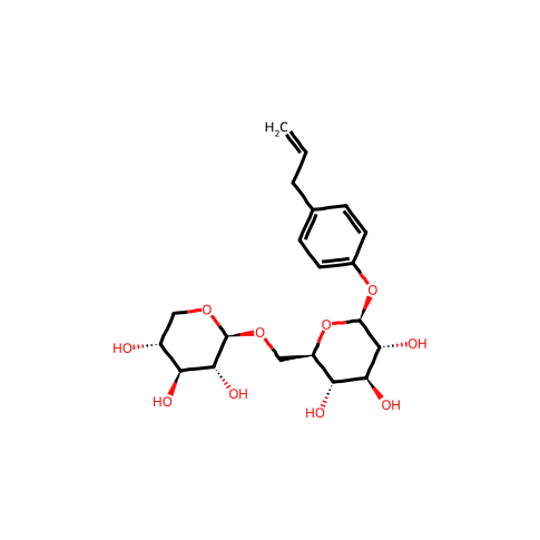 C=CCc1ccc(O[C@@H]2O[C@H](CO[C@@H]3OC[C@@H](O)[C@H](O)[C@H]3O)[C@@H](O)[C@H](O)[C@H]2O)cc1